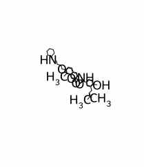 CC(C)=CCc1cc(C(=O)Nc2cc3ccc(OCCCNC4CCCCC4)c(C)c3oc2=O)ccc1O